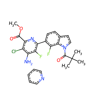 COC(=O)c1nc(-c2ccc3ccn(C(=O)C(C)(C)C)c3c2F)c(F)c(N)c1Cl.c1ccncc1